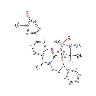 C[C@@H](c1ccc(-c2ccc(=O)n(C)c2)cc1)N1CC[C@](CC(C)(C)N(C)S(C)(=O)=O)(c2ccccc2)OC1=O